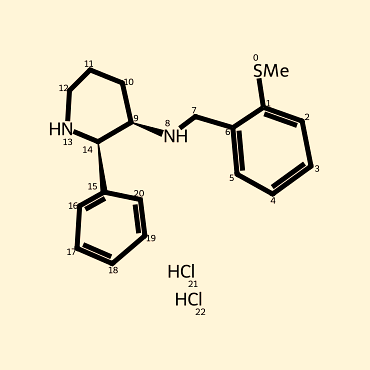 CSc1ccccc1CN[C@@H]1CCCN[C@@H]1c1ccccc1.Cl.Cl